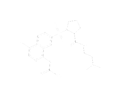 CN(C)CCNC(=O)C1CCCN1S(=O)(=O)c1ccc2c(Cl)cnc(NC(=N)N)c2c1